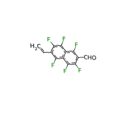 C=Cc1c(F)c(F)c2c(F)c(C=O)c(F)c(F)c2c1F